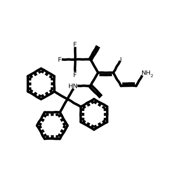 C=C(NC(c1ccccc1)(c1ccccc1)c1ccccc1)/C(C(=C)C(F)(F)F)=C(I)\C=C/N